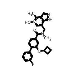 Cc1c2cn[nH]c2c(CN(C)C(=O)c2ccc(-c3cccc(F)c3)c(OC3CCC3)c2)c[n+]1O